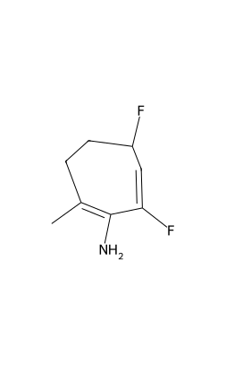 CC1=C(N)C(F)=CC(F)CC1